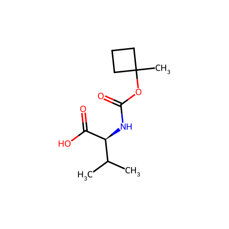 CC(C)[C@H](NC(=O)OC1(C)CCC1)C(=O)O